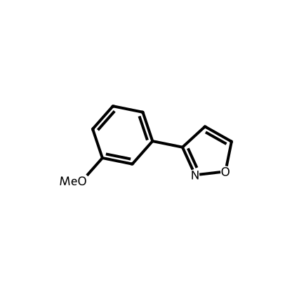 COc1cccc(-c2ccon2)c1